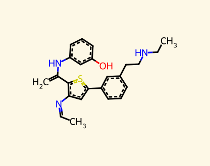 C=C(Nc1cccc(O)c1)c1sc(-c2cccc(CCNCC)c2)cc1/N=C\C